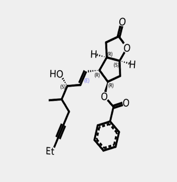 CCC#CCC(C)[C@H](O)/C=C/[C@@H]1[C@H]2CC(=O)O[C@H]2C[C@H]1OC(=O)c1ccccc1